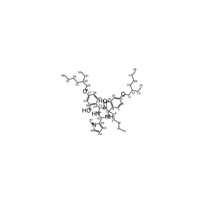 CCCCCC1(c2ccc(OCC(CC)CCCC)cc2O)NC(c2ccc(OCC(CC)CCCC)cc2O)NC(c2cccn2C)N1